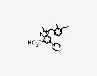 Cc1c(CF)cccc1Cn1c(C)nc2c(C(=O)O)cc(N3CCOCC3)cc21